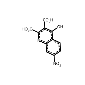 O=C(O)c1nc2cc([N+](=O)[O-])ccc2c(O)c1C(=O)O